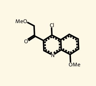 COCC(=O)c1cnc2c(OC)cccc2c1Cl